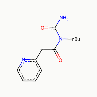 CCCCN(C(N)=O)C(=O)[CH]c1ccccn1